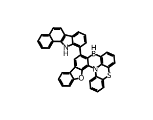 B1c2cccc3c2N(c2ccccc2S3)c2c1c(-c1cccc3c1[nH]c1c4ccccc4ccc31)cc1c2oc2ccccc21